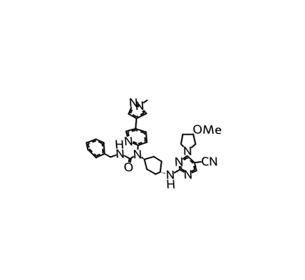 COC1CCN(c2nc(N[C@H]3CC[C@H](N(C(=O)NCc4ccccc4)c4ccc(-c5cnn(C)c5)cn4)CC3)ncc2C#N)C1